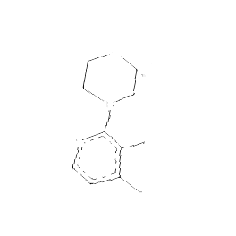 C[C@@H]1CN(c2nccc(I)c2F)C[C@H](C)O1